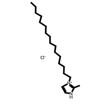 CCCCCCCCCCCCCCCC[n+]1cc[nH]c1C.[Cl-]